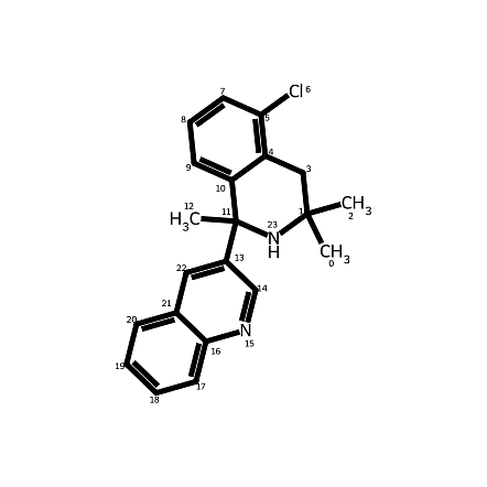 CC1(C)Cc2c(Cl)cccc2C(C)(c2cnc3ccccc3c2)N1